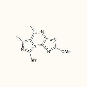 CCCc1nc(C)c2c(C)nc3sc(OC)nc3n12